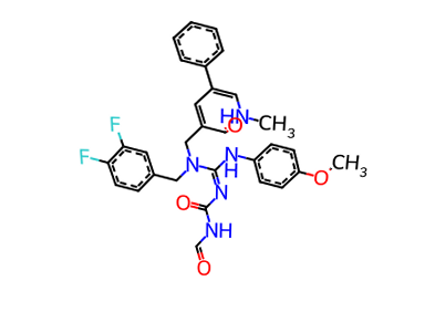 CN/C=C(\C=C(/C=O)CN(Cc1ccc(F)c(F)c1)/C(=N\C(=O)NC=O)Nc1ccc(OC)cc1)c1ccccc1